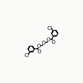 O=C(OCOCOC(=O)c1cccc(Cl)c1)c1cccc(Cl)c1